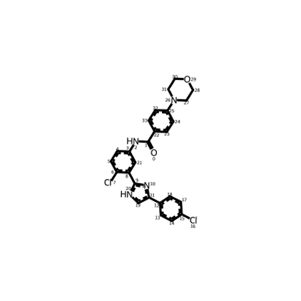 O=C(Nc1ccc(Cl)c(-c2nc(-c3ccc(Cl)cc3)c[nH]2)c1)c1ccc(N2CCOCC2)cc1